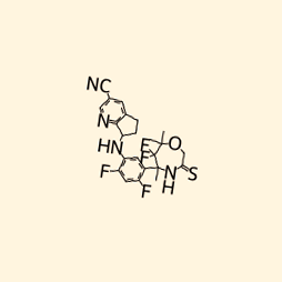 CC1(C)OCC(=S)NC(C)(c2cc(NC3CCc4cc(C#N)cnc43)c(F)cc2F)C1(F)F